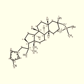 CCCC1(O[Si](C)(C)C(C)(C)C)CC[C@H]2[C@H](CC[C@@H]3[C@@H]2CC[C@@]2(C)[C@H]3CC[C@@H]2[C@@](C)(O)Cn2cc(C#N)cn2)C1